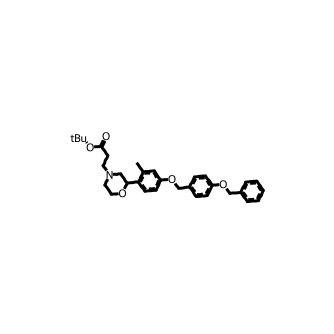 Cc1cc(OCc2ccc(OCc3ccccc3)cc2)ccc1C1CN(CCC(=O)OC(C)(C)C)CCO1